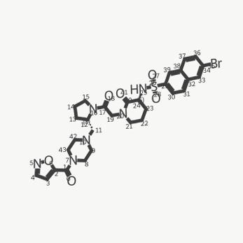 O=C(c1ccno1)N1CCN(C[C@@H]2CCCN2C(=O)CN2CCC[C@H](NS(=O)(=O)c3ccc4cc(Br)ccc4c3)C2=O)CC1